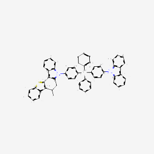 CC1Cc2c(c3ccccc3n2-c2ccc([Si](C3=CC=CCC3)(c3ccccc3)c3ccc(-n4c5ccccc5c5ccccc54)cc3)cc2)-c2sc3ccccc3c21